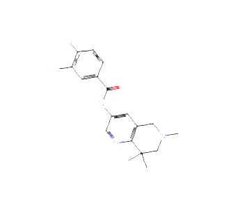 CCc1ccc(C(=O)Nc2cnc3c(c2)CN(C)CC3(C)C)cc1C(C)=O.Cl